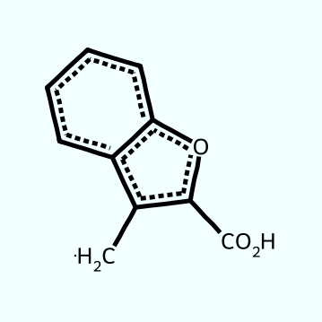 [CH2]c1c(C(=O)O)oc2ccccc12